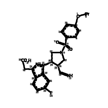 CC(C)Oc1ccc(S(=O)(=O)N2C[C@@H](C=N)[C@@H](n3nc(CC(=O)O)c4ccc(F)cc43)C2)cc1